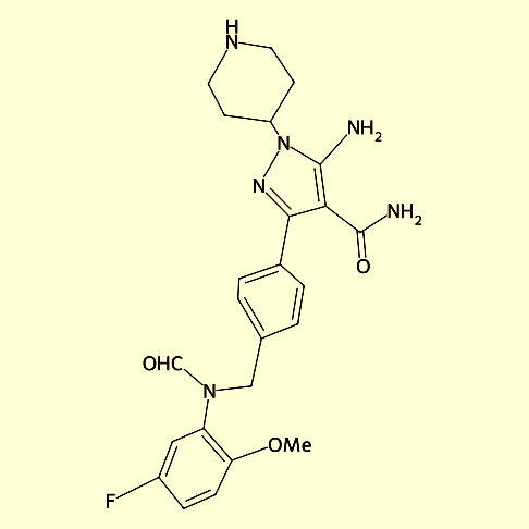 COc1ccc(F)cc1N(C=O)Cc1ccc(-c2nn(C3CCNCC3)c(N)c2C(N)=O)cc1